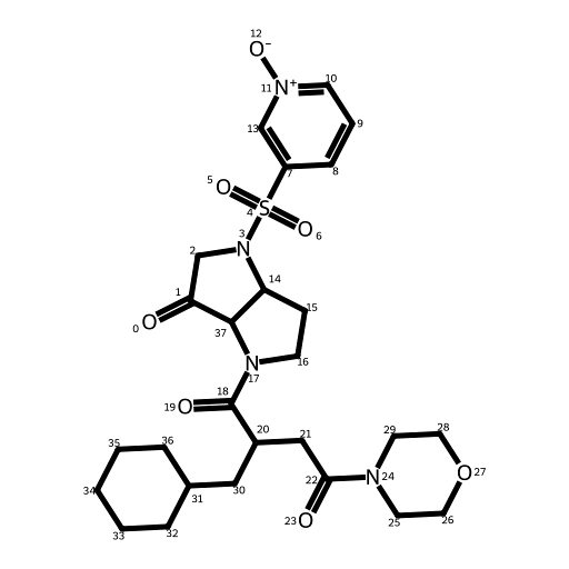 O=C1CN(S(=O)(=O)c2ccc[n+]([O-])c2)C2CCN(C(=O)C(CC(=O)N3CCOCC3)CC3CCCCC3)C12